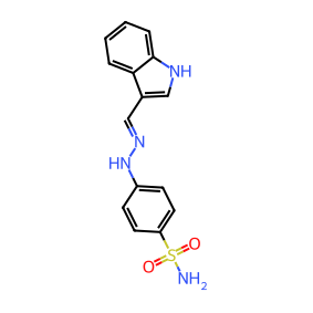 NS(=O)(=O)c1ccc(NN=Cc2c[nH]c3ccccc23)cc1